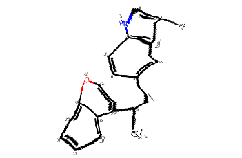 CCc1c[nH]c2ccc(CC(C)c3coc4ccccc34)cc12